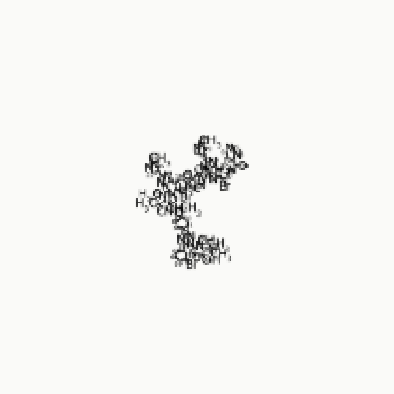 CC(C)[C@H](C(=O)O)N(C)c1nc2c(Br)cccc2c2nc(-c3cnn(C)c3)nn12.CCN(c1nc2c(Br)cccc2c2nc(-c3cnn(C)c3)nn12)[C@H](C)C(=O)O.COc1ccc(-c2nc3c4cccc(Br)c4nc(N(C)[C@@H](C(=O)O)C(C)C)n3n2)cc1.NC(=O)c1ccncn1